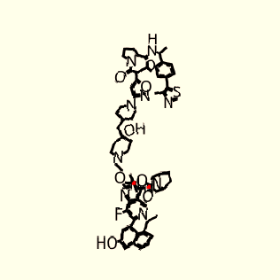 CCc1cccc2cc(O)cc(-c3ncc4c(N5CC6CCC(C5)N6C(=O)OC(C)(C)C)nc(OCCN5CCC(O)(CC6CCN(c7cc(C(C(=O)N8CCCC8C(=O)NC(C)c8ccc(-c9scnc9C)cc8)C(C)C)on7)CC6)CC5)nc4c3F)c12